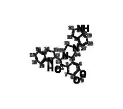 O=C(c1ccc2c(c1)OCO2)C(C1CCc2ccccc2N1)N1CCN(c2cccc3[nH]ccc23)CC1